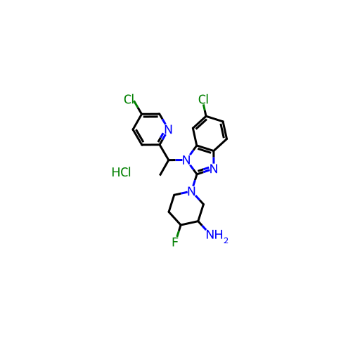 CC(c1ccc(Cl)cn1)n1c(N2CCC(F)C(N)C2)nc2ccc(Cl)cc21.Cl